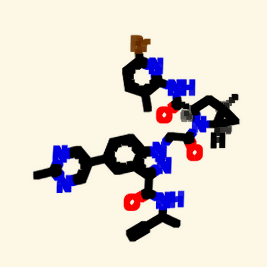 C#CC(C)NC(=O)c1nn(CC(=O)N2[C@H](C(=O)Nc3nc(Br)ccc3C)C[C@@]3(C)C[C@@H]23)c2ccc(-c3cnc(C)nc3)cc12